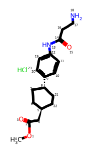 COC(=O)C[C@H]1CC[C@H](c2ccc(NC(=O)CCN)cc2)CC1.Cl